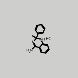 CC1(c2ccccc2)N=C(N)c2ccccc2N1.Cl